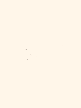 CC(C)C[C@@]1(O)CC(=O)N([C@@H](CC2CCCCC2)C(=S)NCCCc2ccccc2)C1=O